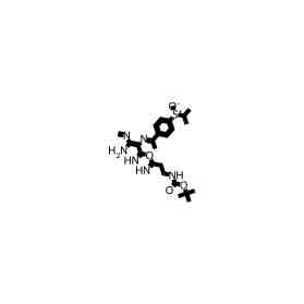 C=N/C(N)=C(\N=C(/C)c1ccc([S+]([O-])C(C)C)cc1)C(=N)OC(=N)CCNC(=O)OC(C)(C)C